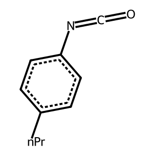 [CH2]CCc1ccc(N=C=O)cc1